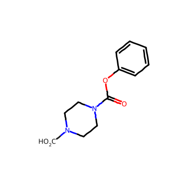 O=C(O)N1CCN(C(=O)Oc2ccccc2)CC1